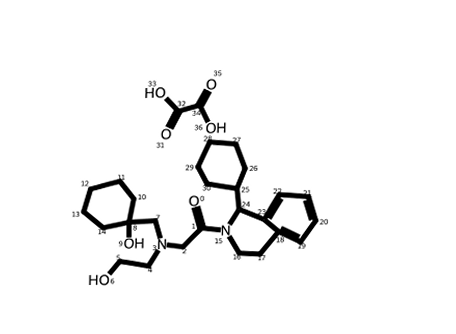 O=C(CN(CCO)CC1(O)CCCCC1)N1CCc2ccccc2C1C1CCCCC1.O=C(O)C(=O)O